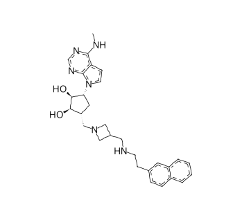 CNc1ncnc2c1ccn2[C@@H]1C[C@H](CN2CC(CNCCc3ccc4ccccc4c3)C2)[C@@H](O)[C@H]1O